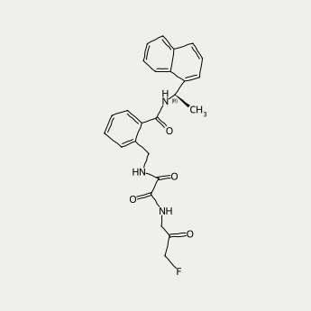 C[C@@H](NC(=O)c1ccccc1CNC(=O)C(=O)NCC(=O)CF)c1cccc2ccccc12